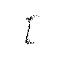 CCCCCCCCOC(=O)CCCCCCCCCCCCCCCC(CC(=O)OCCCCCCCC)C(C)C